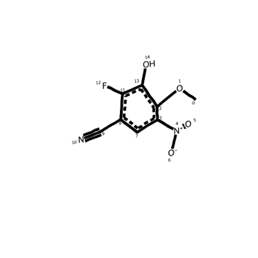 COc1c([N+](=O)[O-])cc(C#N)c(F)c1O